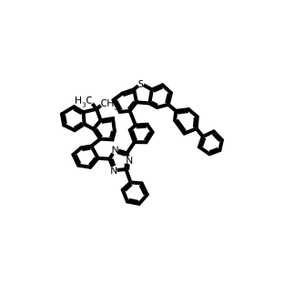 CC1(C)c2ccccc2-c2c(-c3ccccc3-c3nc(-c4ccccc4)nc(-c4cccc(-c5cccc6sc7ccc(-c8ccc(-c9ccccc9)cc8)cc7c56)c4)n3)cccc21